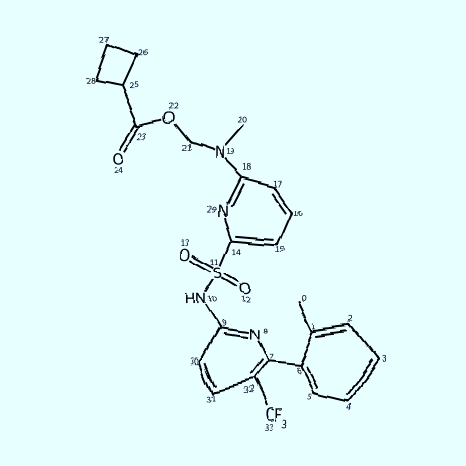 Cc1ccccc1-c1nc(NS(=O)(=O)c2cccc(N(C)COC(=O)C3CCC3)n2)ccc1C(F)(F)F